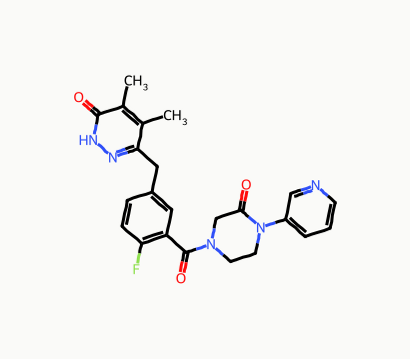 Cc1c(Cc2ccc(F)c(C(=O)N3CCN(c4cccnc4)C(=O)C3)c2)n[nH]c(=O)c1C